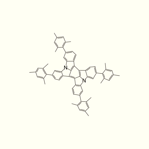 Cc1cc(C)c(-c2ccc3c4c5c6ccc(-c7c(C)cc(C)cc7C)cc6n6c7cc(-c8c(C)cc(C)cc8C)ccc7c(c7c8ccc(-c9c(C)cc(C)cc9C)cc8n(c3c2)c47)c56)c(C)c1